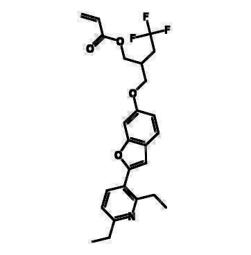 C=CC(=O)OCC(COc1ccc2cc(-c3ccc(CC)nc3CC)oc2c1)CC(F)(F)F